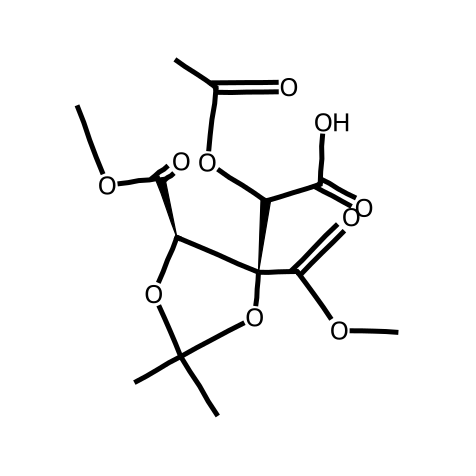 COC(=O)[C@@H]1OC(C)(C)O[C@]1(C(=O)OC)C(OC(C)=O)C(=O)O